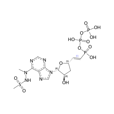 CN(NS(C)(=O)=O)c1ncnc2c1ncn2[C@@H]1O[C@H](/C=C/P(=O)(O)OP(=O)(O)OP(=O)(O)O)C[C@H]1O